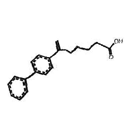 C=C(CCCCC(=O)O)c1ccc(-c2ccccc2)cc1